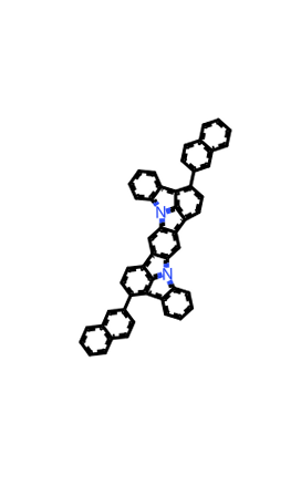 c1ccc2cc(-c3ccc4c5cc6c(cc5n5c7ccccc7c3c45)c3ccc(-c4ccc5ccccc5c4)c4c5ccccc5n6c34)ccc2c1